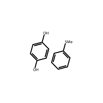 CSc1ccccc1.Oc1ccc(O)cc1